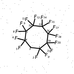 FC1(F)[CH]C(F)(F)C(F)(F)C(F)(F)C(F)(F)C(F)(F)C1(F)F